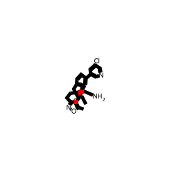 Cc1onc2c1CC1(CC2)Cc2ccc(-c3cncc(Cl)c3)cc2C12N=C(N)N(C)C2=O